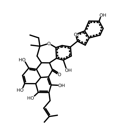 CCC1(C)CC2C3=C(O)C=C(O)C4C(O)=C(CC=C(C)C)C(O)=C(C(=O)C2c2c(O)cc(-c5cc6ccc(O)cc6o5)cc2O1)C34